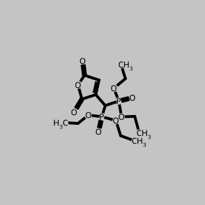 CCOP(=O)(OCC)C(C1=CC(=O)OC1=O)P(=O)(OCC)OCC